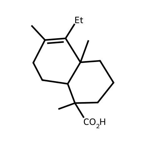 CCC1=C(C)CCC2C(C)(C(=O)O)CCCC12C